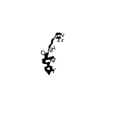 CCc1nccn1CCCNC(=O)c1ccc(-c2cccc(F)c2)nc1